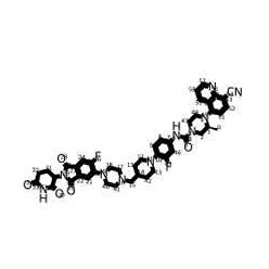 C[C@H]1CN(C(=O)Nc2ccc(N3CCC(CN4CCN(c5cc6c(cc5F)C(=O)N(C5CCC(=O)NC5=O)C6=O)CC4)CC3)c(F)c2)CCN1c1ccc(C#N)c2ncccc12